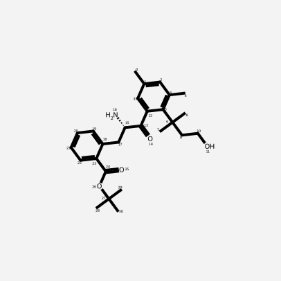 Cc1cc(C)c(C(C)(C)CCO)c(C(=O)[C@@H](N)Cc2ccccc2C(=O)OC(C)(C)C)c1